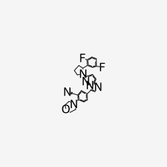 N#Cc1cc(-c2cnc3ccc(N4CCCC4c4cc(F)ccc4F)nn23)ccc1N1CCOCC1